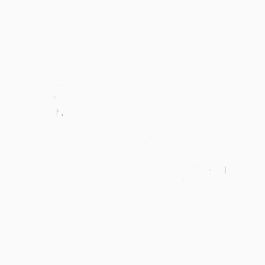 CC(=O)Nc1ccc(C=Cc2ccc(CC(=O)O)cc2)cc1